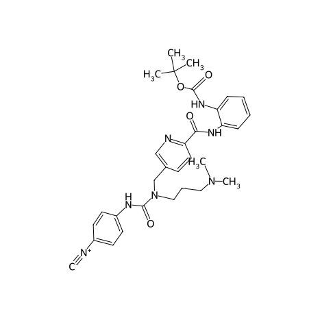 [C-]#[N+]c1ccc(NC(=O)N(CCCN(C)C)Cc2ccc(C(=O)Nc3ccccc3NC(=O)OC(C)(C)C)nc2)cc1